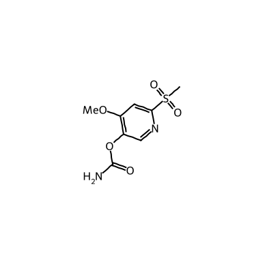 COc1cc(S(C)(=O)=O)ncc1OC(N)=O